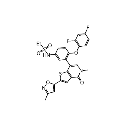 CCS(=O)(=O)Nc1ccc(Oc2ccc(F)cc2F)c(-c2cn(C)c(=O)c3cc(-c4cc(C)no4)sc23)c1